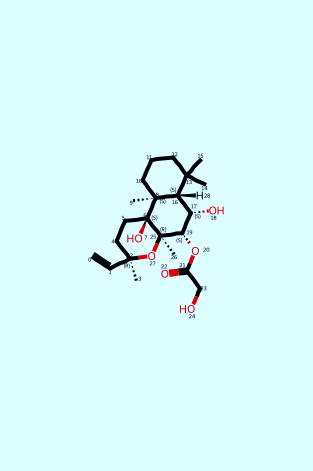 C=C[C@@]1(C)CC[C@]2(O)[C@@]3(C)CCCC(C)(C)[C@@H]3[C@H](O)[C@H](OC(=O)CO)[C@@]2(C)O1